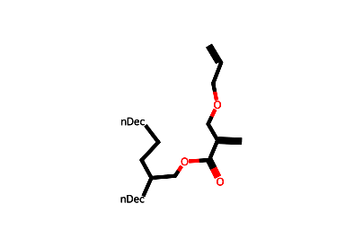 C=CCOCC(=C)C(=O)OCC(CCCCCCCCCC)CCCCCCCCCCCC